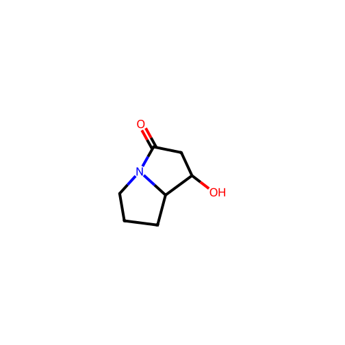 O=C1CC(O)C2CCCN12